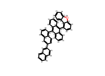 c1ccc2cc(-c3ccc4c(-c5c6ccccc6c(-c6cccc7oc8ccccc8c67)c6ccccc56)cccc4c3)ccc2c1